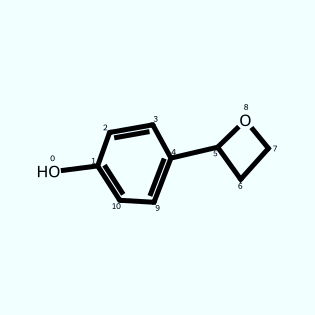 Oc1ccc(C2CCO2)cc1